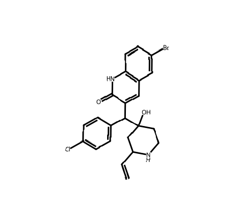 C=CC1CC(O)(C(c2ccc(Cl)cc2)c2cc3cc(Br)ccc3[nH]c2=O)CCN1